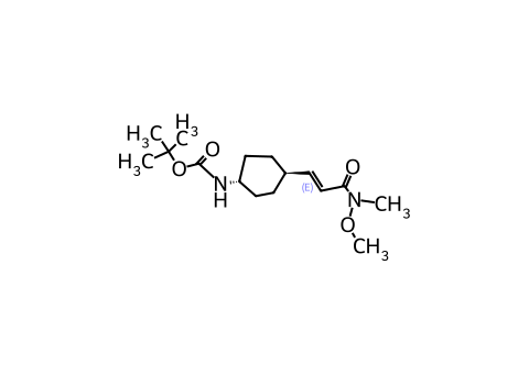 CON(C)C(=O)/C=C/[C@H]1CC[C@H](NC(=O)OC(C)(C)C)CC1